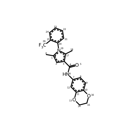 Cc1cc(C(=O)Nc2ccc3c(c2)OCCO3)c(C)n1-c1ccccc1C(F)(F)F